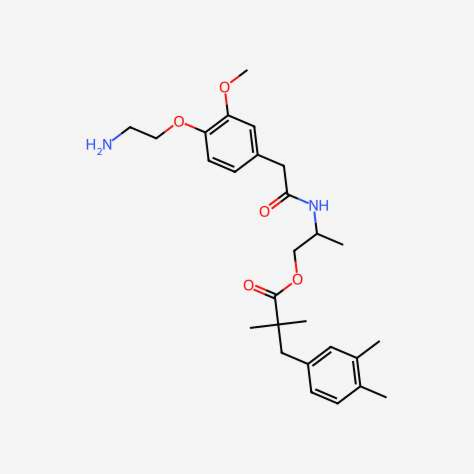 COc1cc(CC(=O)NC(C)COC(=O)C(C)(C)Cc2ccc(C)c(C)c2)ccc1OCCN